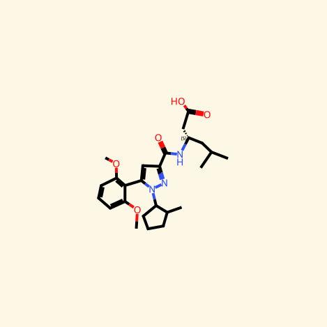 COc1cccc(OC)c1-c1cc(C(=O)N[C@H](CC(=O)O)CC(C)C)nn1C1CCCC1C